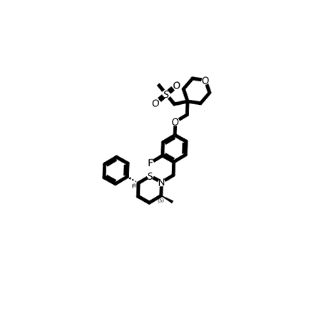 C[C@H]1CC[C@H](c2ccccc2)SN1Cc1ccc(OCC2(CS(C)(=O)=O)CCOCC2)cc1F